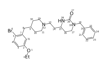 CCOc1ccc(Br)c(CC2CCN(CCC3CCN(Cc4ccccc4)C(=O)N3)CC2)c1